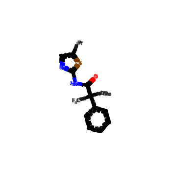 COC(C(=O)Nc1ncc(C(C)C)s1)(c1ccccc1)C(F)(F)F